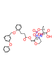 C[C@H](OP(=O)(O)O[C@H]1CCCO[C@H]1COC(=O)CCc1ccccc1OCc1cccc(Oc2ccccc2)c1)[C@H](N)C(=O)O